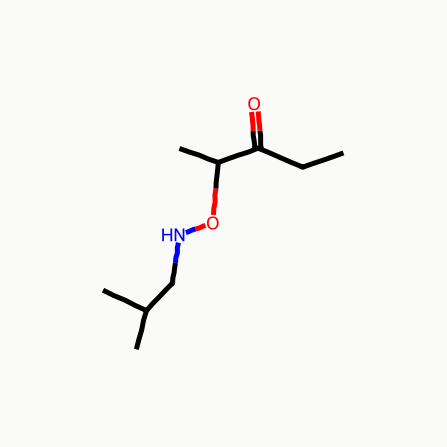 CCC(=O)C(C)ONCC(C)C